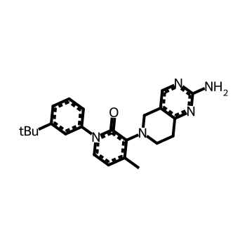 Cc1ccn(-c2cccc(C(C)(C)C)c2)c(=O)c1N1CCc2nc(N)ncc2C1